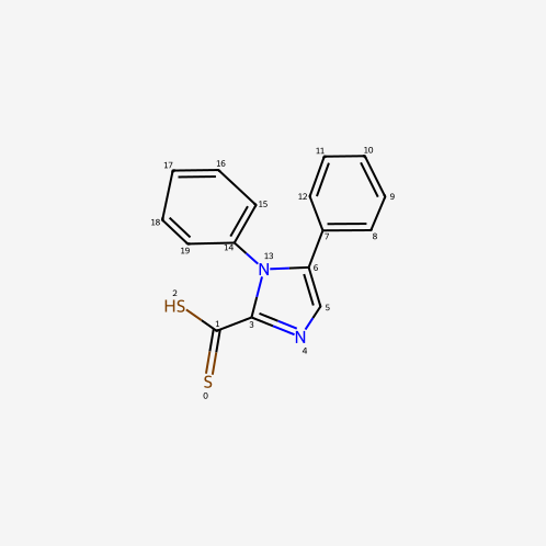 S=C(S)c1ncc(-c2ccccc2)n1-c1ccccc1